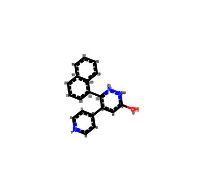 Oc1cc(-c2ccncc2)c(-c2cccc3ccccc23)nn1